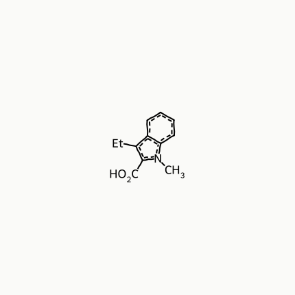 CCc1c(C(=O)O)n(C)c2ccccc12